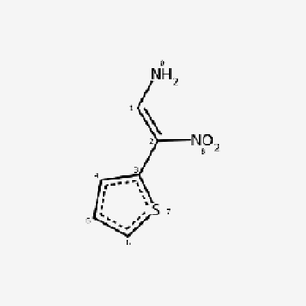 NC=C(c1cccs1)[N+](=O)[O-]